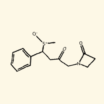 C[S+]([O-])C(CC(=O)CN1CCC1=O)c1ccccc1